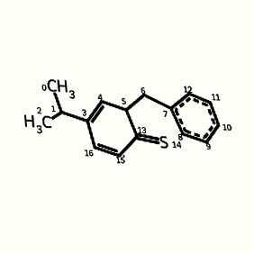 CC(C)C1=CC(Cc2ccccc2)C(=S)[C]=C1